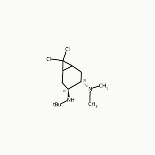 CN(C)[C@H]1CC2C(C[C@@H]1NC(C)(C)C)C2(Cl)Cl